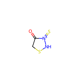 O=C1CSN[N+]1=S